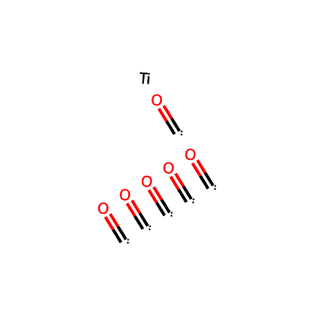 [C]=O.[C]=O.[C]=O.[C]=O.[C]=O.[C]=O.[Ti]